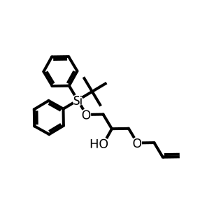 C=CCOCC(O)CO[Si](c1ccccc1)(c1ccccc1)C(C)(C)C